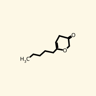 CCCCCC1=CCC(=O)CO1